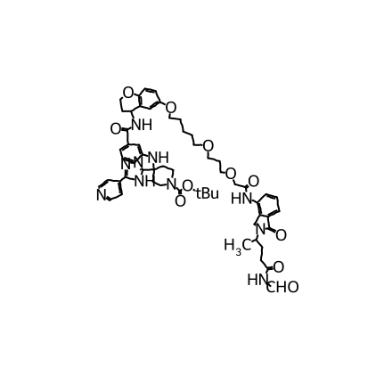 CC(CCC(=O)NC=O)N1Cc2c(NC(=O)COCCCOCCCCCOc3ccc4c(c3)C(NC(=O)c3cccc(NC5(c6nnc(-c7ccncc7)[nH]6)CCN(C(=O)OC(C)(C)C)CC5)c3)CCO4)cccc2C1=O